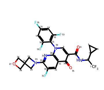 O=C(NC(C1CC1)C(F)(F)F)c1cn(-c2c(F)cc(F)cc2F)c2nc(N3CC4(COC4)C3)c(F)cc2c1=O